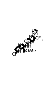 CO[C@H](C)c1c(NC(=O)Nc2cc(C(F)(F)F)c(-n3nccn3)nc2C)cnc2ccc(Cl)nc12